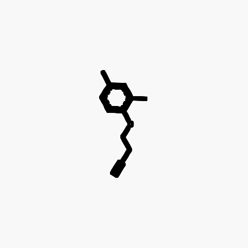 C#CCCOc1ccc(C)cc1C